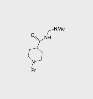 CNCNC(=O)C1CCN(C(C)C)CC1